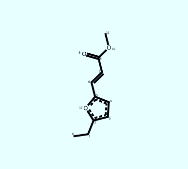 CCc1ccc(C=CC(=O)OC)o1